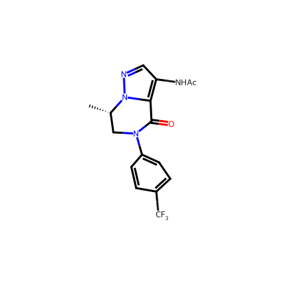 CC(=O)Nc1cnn2c1C(=O)N(c1ccc(C(F)(F)F)cc1)C[C@@H]2C